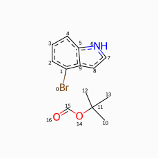 Brc1cccc2[nH]ccc12.CC(C)(C)OC=O